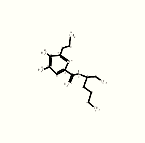 C=C(NC(CC)CCCC)c1cc(C)c(C)c(CCC)n1